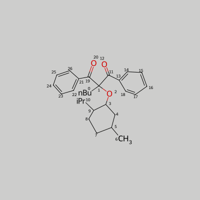 CCCCC(OC1CC(C)CCC1C(C)C)(C(=O)c1ccccc1)C(=O)c1ccccc1